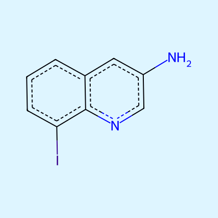 Nc1cnc2c(I)cccc2c1